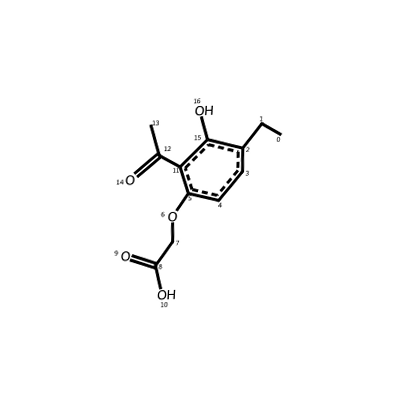 CCc1ccc(OCC(=O)O)c(C(C)=O)c1O